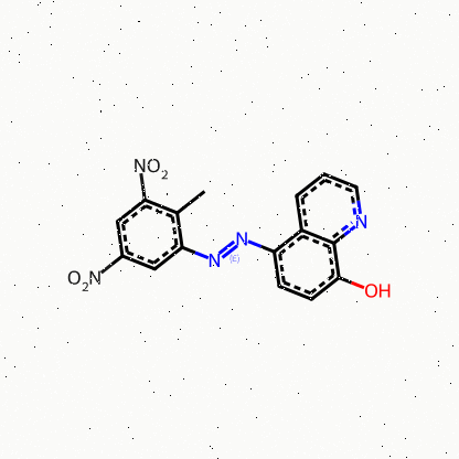 Cc1c(/N=N/c2ccc(O)c3ncccc23)cc([N+](=O)[O-])cc1[N+](=O)[O-]